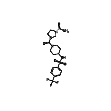 NC(=O)[C@H]1CCN(C(=O)N2CCC(NS(=O)(=O)c3ccc(C(F)(F)F)cc3)CC2)C1